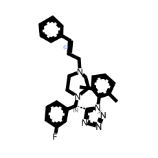 Cc1cccc(C)c1-n1nnnc1[C@H](c1cccc(F)c1)N1CCN(C/C=C/c2ccccc2)CC1